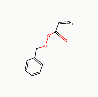 C=CC(=O)OOCc1ccccc1